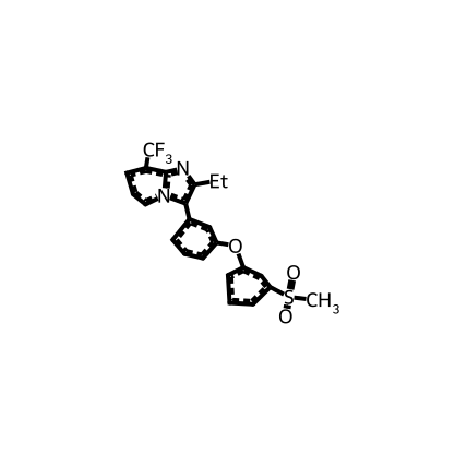 CCc1nc2c(C(F)(F)F)cccn2c1-c1cccc(Oc2cccc(S(C)(=O)=O)c2)c1